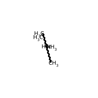 Br.C/C=C(\C)CCCCCCCCCCCCCCCC.N